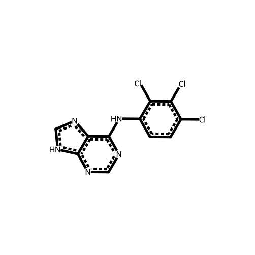 Clc1ccc(Nc2ncnc3[nH]cnc23)c(Cl)c1Cl